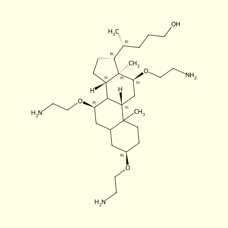 C[C@H](CCCO)[C@H]1CC[C@H]2C3[C@H](OCCN)CC4C[C@H](OCCN)CCC4(C)[C@H]3C[C@H](OCCN)[C@]12C